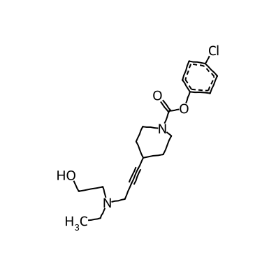 CCN(CC#CC1CCN(C(=O)Oc2ccc(Cl)cc2)CC1)CCO